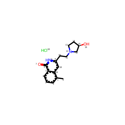 Cc1cccc2c(=O)[nH]c(CCN3CC[C@@H](O)C3)cc12.Cl